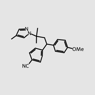 COc1ccc(C(CC(C)(C)n2cc(C)cn2)c2ccc(C#N)cc2)cc1